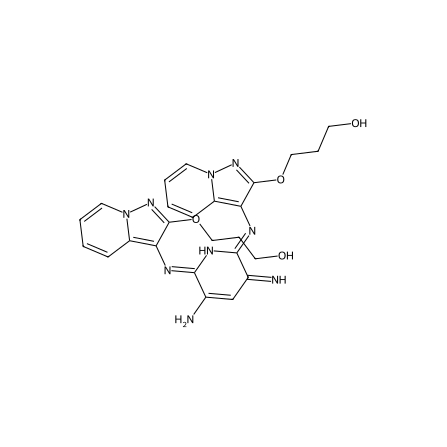 N=C1C=C(N)/C(=N/c2c(OCCCO)nn3ccccc23)N/C1=N\c1c(OCCCO)nn2ccccc12